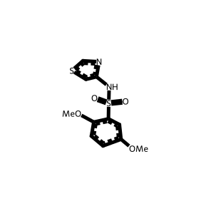 COc1ccc(OC)c(S(=O)(=O)Nc2cscn2)c1